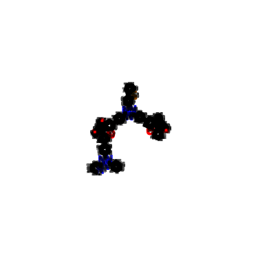 c1ccc(-c2nc(-c3ccc(-c4ccc5c(c4)Oc4cc(-c6ccc(-c7nc(-c8ccc(-c9ccc%10c(c9)Oc9ccccc9C%109c%10ccccc%10-c%10ccccc%109)cc8)nc(-c8ccc9c(c8)sc8ccccc89)n7)cc6)ccc4C54c5ccccc5-c5ccccc54)cc3)nc(-c3ccccn3)n2)cc1